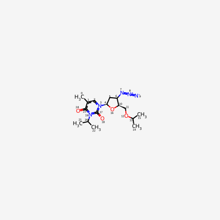 Cc1cn([C@H]2CC(N=[N+]=[N-])[C@@H](COC(C)C)O2)c(=O)n(C(C)C)c1=O